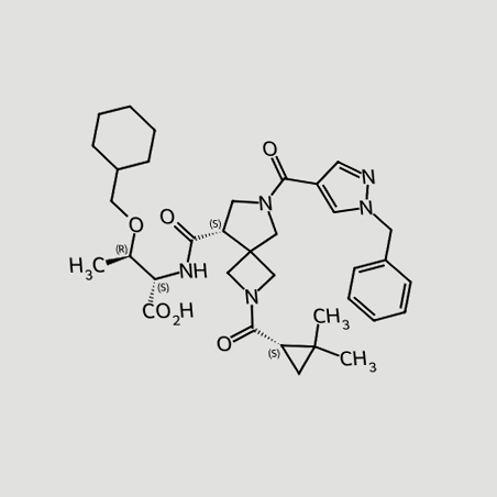 C[C@@H](OCC1CCCCC1)[C@H](NC(=O)[C@@H]1CN(C(=O)c2cnn(Cc3ccccc3)c2)CC12CN(C(=O)[C@H]1CC1(C)C)C2)C(=O)O